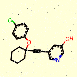 Oc1cncc(C#CC2(Oc3ccc(Cl)cc3)CCCCC2)c1